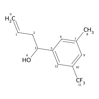 C=CCC(O)c1cc(C)cc(C(F)(F)F)c1